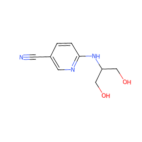 N#Cc1ccc(NC(CO)CO)nc1